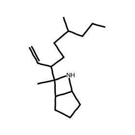 C=CC(CCC(C)CCC)C1(C)NC2CCCC21